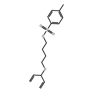 C=CC(C=C)OCCCCOS(=O)(=O)c1ccc(C)cc1